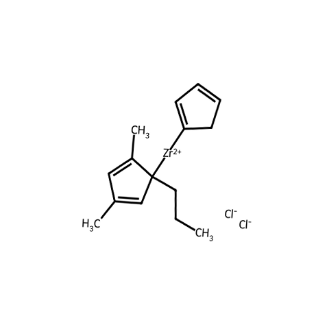 CCC[C]1([Zr+2][C]2=CC=CC2)C=C(C)C=C1C.[Cl-].[Cl-]